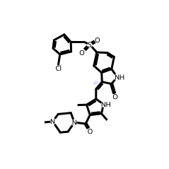 Cc1[nH]c(/C=C2\C(=O)Nc3ccc(S(=O)(=O)Cc4cccc(Cl)c4)cc32)c(C)c1C(=O)N1CCN(C)CC1